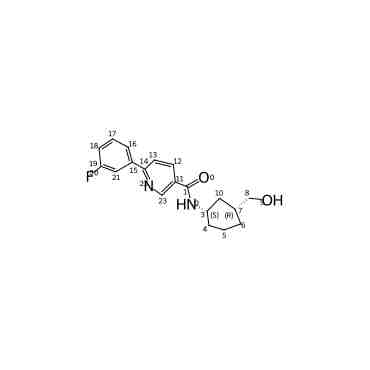 O=C(N[C@H]1CCC[C@@H](CO)C1)c1ccc(-c2cccc(F)c2)nc1